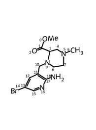 COC(=O)C1CN(C)CCN1Cc1cc(Br)cnc1N